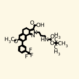 COc1cc2c(cc1-c1cccc(C(F)(F)F)c1)-c1nn(CCCNC(=O)OC(C)(C)C)c(C(=O)O)c1CC2